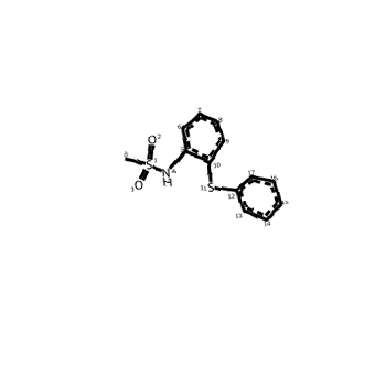 CS(=O)(=O)Nc1ccccc1Sc1ccccc1